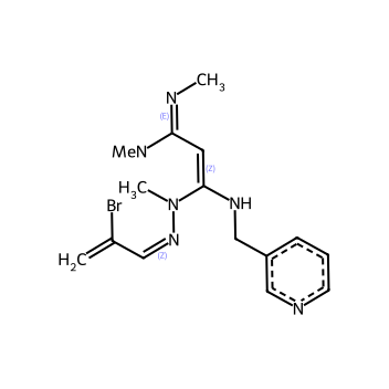 C=C(Br)/C=N\N(C)/C(=C\C(=N/C)NC)NCc1cccnc1